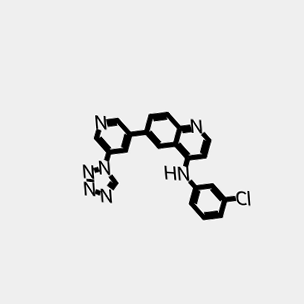 Clc1cccc(Nc2ccnc3ccc(-c4cncc(-n5cnnn5)c4)cc23)c1